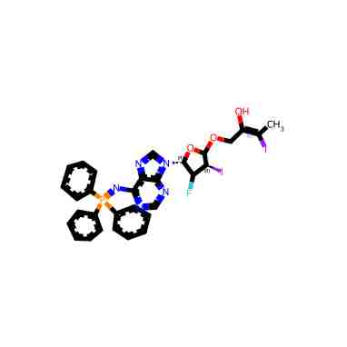 C/C(I)=C(\O)COC1O[C@@H](n2cnc3c(N=P(c4ccccc4)(c4ccccc4)c4ccccc4)ncnc32)C(F)[C@@H]1I